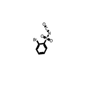 O=C=NS(=O)(=O)c1ccccc1Br